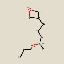 CCCO[SiH](C)CCCC1COC1